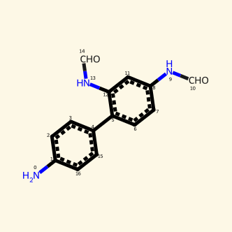 Nc1ccc(-c2ccc(NC=O)cc2NC=O)cc1